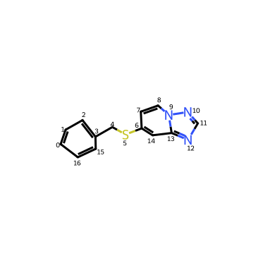 c1ccc(CSc2ccn3ncnc3c2)cc1